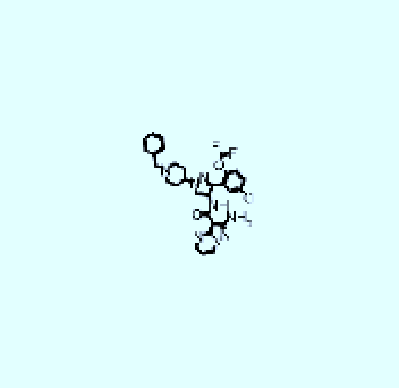 Nc1nn2cccnc2c1C(=O)Nc1cn(C2CCN(Cc3ccccc3)CC2)nc1-c1cc(Cl)ccc1OC(F)F